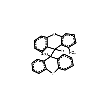 CCC1(C2(OC(C)=O)c3ccccc3Oc3ccccc32)c2ccccc2Oc2cccc([N+](=O)[O-])c21